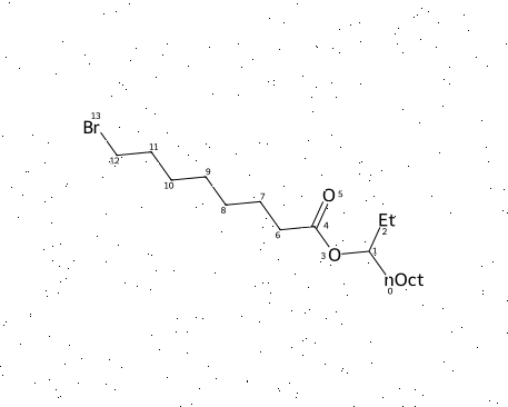 CCCCCCCCC(CC)OC(=O)CCCCCCCBr